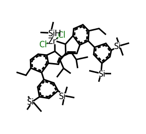 CCc1ccc2c(c1-c1cc([Si](C)(C)C)cc([Si](C)(C)C)c1)C=C(CC(C)C)[CH]2[Zr]([Cl])([Cl])([CH]1C(CC(C)C)=Cc2c1ccc(CC)c2-c1cc([Si](C)(C)C)cc([Si](C)(C)C)c1)[SiH](C)C